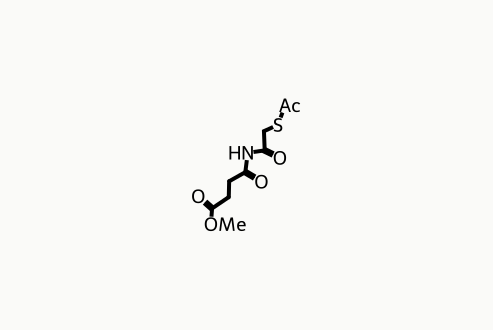 COC(=O)CCC(=O)NC(=O)CSC(C)=O